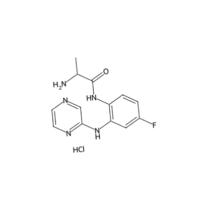 CC(N)C(=O)Nc1ccc(F)cc1Nc1cnccn1.Cl